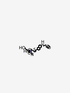 C/C(=C(/C#N)S(=O)(=O)NCCCO)c1ccc(-c2ccc3cc(NCCN4CCOCC4)ccc3c2)s1